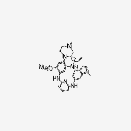 C=CC(=O)Nc1cc(Nc2nccc(Nc3ccc4ccn(C)c4c3)n2)c(OC)cc1N1CCN(C)CC1